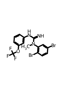 CN(C(=N)Nc1cccc(OC(F)(F)F)c1)c1cc(Br)ccc1Br